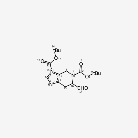 CC(C)(C)OC(=O)N1Cc2c(ncn2C(=O)OC(C)(C)C)CC1[C]=O